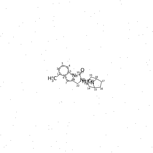 Cc1cccc2c1cc1n2C(=O)N(C2CC3CCC(C2)N3C)C1